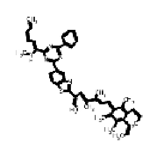 C=C/C=C\C=C(/BC)c1nc(-c2ccccc2)nc(-c2ccc3sc(C(/C=C(C)/C(C)=C/C=c4/c(C)c(/C=C\C)c(/C=C\C)c(C)c4=C)=C/C)nc3c2)n1